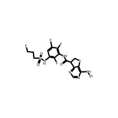 CCNc1ncnc2c1SCC2C(=O)Nc1c(F)c(F)cc(NS(=O)(=O)CCCF)c1F